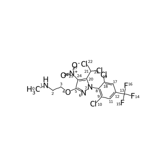 CNCCOc1nn(-c2c(Cl)cc(C(F)(F)F)cc2Cl)c(C(Cl)Cl)c1[N+](=O)[O-]